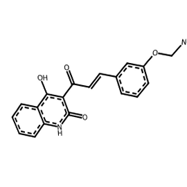 [C-]#[N+]COc1cccc(/C=C/C(=O)c2c(O)c3ccccc3[nH]c2=O)c1